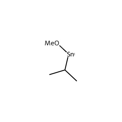 C[O][Sn][CH](C)C